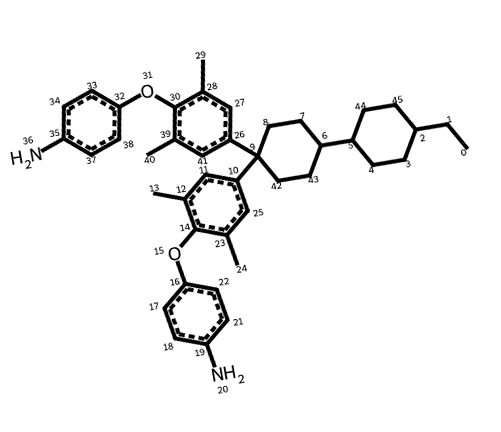 CCC1CCC(C2CCC(c3cc(C)c(Oc4ccc(N)cc4)c(C)c3)(c3cc(C)c(Oc4ccc(N)cc4)c(C)c3)CC2)CC1